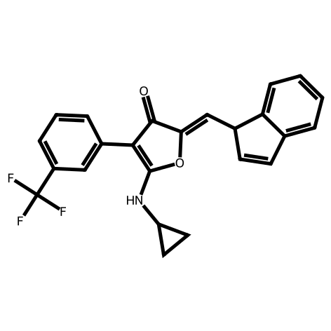 O=C1C(c2cccc(C(F)(F)F)c2)=C(NC2CC2)O/C1=C\C1C=Cc2ccccc21